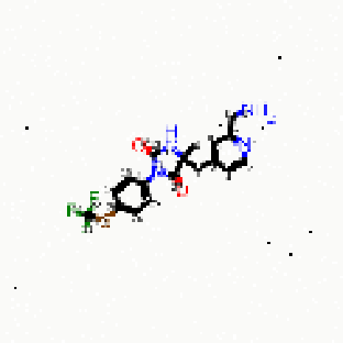 CC1(Cc2ccnc(CN)c2)NC(=O)N(c2ccc(SC(F)(F)F)cc2)C1=O